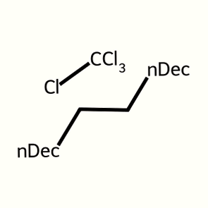 CCCCCCCCCCCCCCCCCCCCCC.ClC(Cl)(Cl)Cl